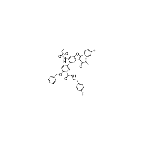 CCS(=O)(=O)Nc1cc2oc(-c3ccc(F)cc3)c(C(=O)NC)c2cc1-c1ccc(OCc2ccccc2)c(C(=O)NCCc2ccc(F)cc2)n1